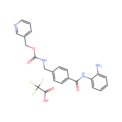 Nc1ccccc1NC(=O)c1ccc(CNC(=O)OCc2cccnc2)cc1.O=C(O)C(F)(F)F